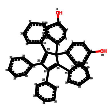 Oc1ccc(C2(c3ccc(O)cc3)C(c3ccccc3)=C(c3ccccc3)C(c3ccccc3)=C2c2ccccc2)cc1